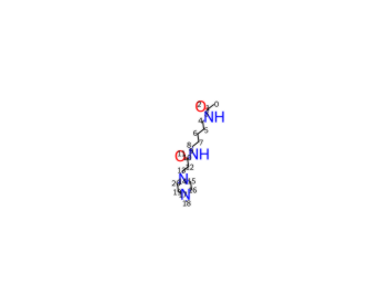 CC(=O)NCCCCCNC(=O)CCN1CCN(C)CC1